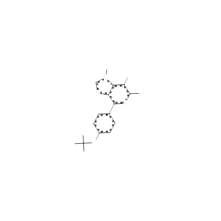 Cc1nc(-c2ccc(OC(F)(F)F)cc2)c2ncn(C)c2c1Br